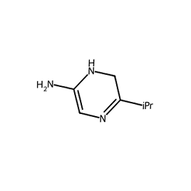 CC(C)C1=NC=C(N)NC1